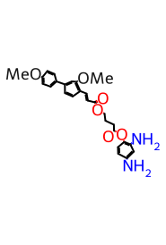 COc1ccc(-c2ccc(/C=C/C(=O)OCCCC(=O)Oc3ccc(N)cc3N)c(OC)c2)cc1